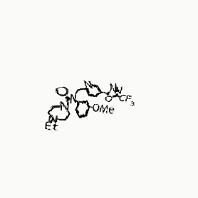 CCN1CCN(C(=O)N(Cc2ccc(-c3nnc(C(F)(F)F)o3)cn2)c2cccc(OC)c2)CC1